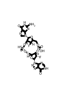 Nc1nc2c(ncn2[C@@H]2OC3COP(=O)(O)O[C@H]4[C@H](F)[C@H](n5nnc6c(=O)[nH]cnc65)O[C@@H]4COP(=O)(S)O[C@@H]2[C@@H]3F)c(=O)[nH]1